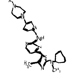 CC(=O)N1CCN(c2ccc(Nc3nccc(-c4sc(N(C)C5CCCC5)nc4C)n3)nc2)CC1